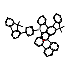 CC1(C)c2ccccc2-c2c(-c3ccccc3N(c3ccc(-c4cccc5c4C(C)(C)c4ccccc4-5)cc3)c3ccc(-c4cccc5cccc(-c6ccccc6)c45)cc3)cccc21